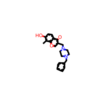 Cc1c(O)ccc2c(=O)c(CN3CCN(Cc4ccccc4)CC3)coc12